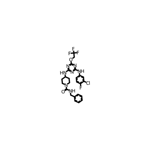 O=C(NCc1ccccc1)N1CCC(Nc2nc(Nc3ccc(F)c(Cl)c3)nc(OCC(F)(F)F)n2)CC1